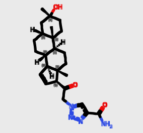 C[C@@]1(O)CC[C@@]2(C)[C@H](CC[C@H]3[C@@H]4C=C[C@H](C(=O)Cn5cc(C(N)=O)nn5)[C@@]4(C)CC[C@@H]32)C1